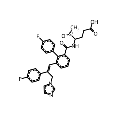 C[S+]([O-])C(CCC(=O)O)NC(=O)c1cccc(C=C(Cn2ccnc2)c2ccc(F)cc2)c1-c1ccc(F)cc1